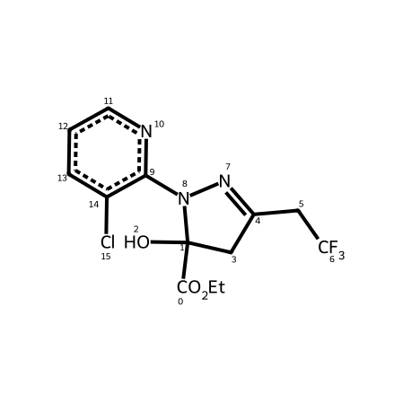 CCOC(=O)C1(O)CC(CC(F)(F)F)=NN1c1ncccc1Cl